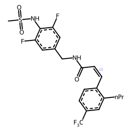 CCCc1cc(C(F)(F)F)ccc1/C=C\C(=O)NCc1cc(F)c(NS(C)(=O)=O)c(F)c1